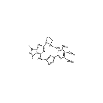 COc1cc(-n2cnc(Nc3nc(N4CCC[C@H]4CO)nc4c3c(C)nn4C)c2)cc(OC)c1OC